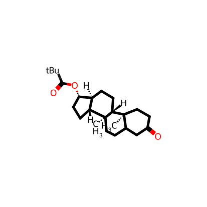 CC(C)(C)C(=O)O[C@H]1CC[C@@H]2[C@@H]1CC[C@H]1[C@@]2(C)CCC2CC(=O)CC[C@@]21C